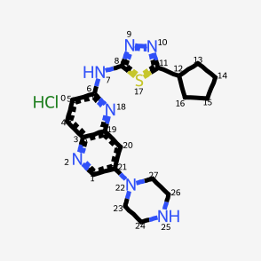 Cl.c1nc2ccc(Nc3nnc(C4CCCC4)s3)nc2cc1N1CCNCC1